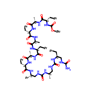 CC(C)C[C@@H](CNC(N)=O)NC(=O)NC[C@H](C)NC(=O)NC[C@@H](NC(=O)[C@H](CC(C)C)NC(=O)[C@H](C)NC(=O)[C@H](CC(C)C)NC(=O)[C@H](C)NC(=O)[C@H](CC(C)C)NC(=O)[C@H](C)NC(=O)[C@H](CC(C)C)NC(=O)OC(C)(C)C)C(C)C